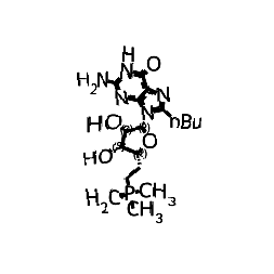 C=P(C)(C)CC[C@H]1O[C@@H](n2c(CCCC)nc3c(=O)[nH]c(N)nc32)[C@H](O)[C@@H]1O